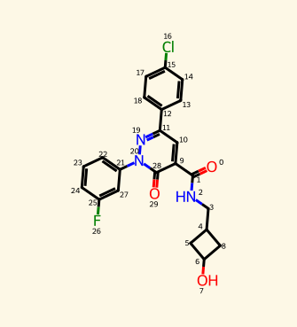 O=C(NCC1CC(O)C1)c1cc(-c2ccc(Cl)cc2)nn(-c2cccc(F)c2)c1=O